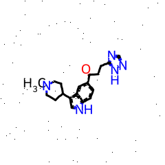 CN1CCC(c2c[nH]c3ccc(C(=O)CCc4ncn[nH]4)cc23)CC1